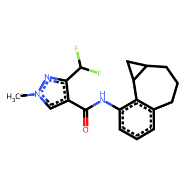 Cn1cc(C(=O)Nc2cccc3c2C2CC2CCC3)c(C(F)F)n1